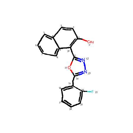 Oc1ccc2ccccc2c1-c1nnc(-c2ccccc2F)o1